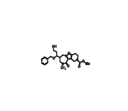 CN1CC(C(CCO)OCc2ccccc2)Cn2nc3c(c2C1=O)CN(C(=O)OC(C)(C)C)CC3